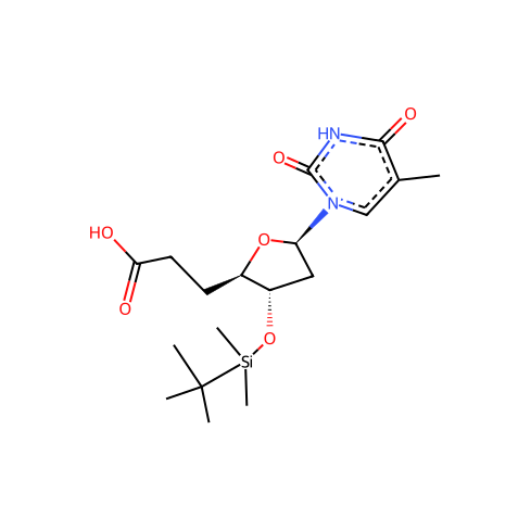 Cc1cn([C@H]2C[C@H](O[Si](C)(C)C(C)(C)C)[C@@H](CCC(=O)O)O2)c(=O)[nH]c1=O